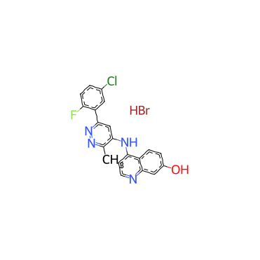 Br.Cc1nnc(-c2cc(Cl)ccc2F)cc1Nc1ccnc2cc(O)ccc12